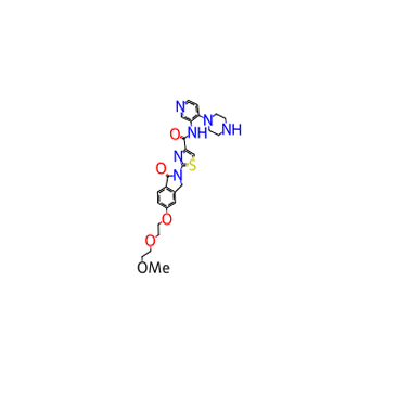 COCCOCCOc1ccc2c(c1)CN(c1nc(C(=O)Nc3cnccc3N3CCNCC3)cs1)C2=O